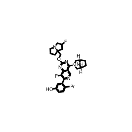 CC(C)c1ccc(O)cc1-c1ncc2c(N3C[C@H]4CC[C@@H](C3)N4)nc(OCC34CCCN3CC(F)C4)nc2c1F